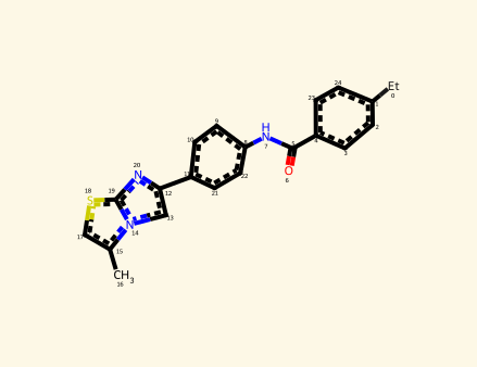 CCc1ccc(C(=O)Nc2ccc(-c3cn4c(C)csc4n3)cc2)cc1